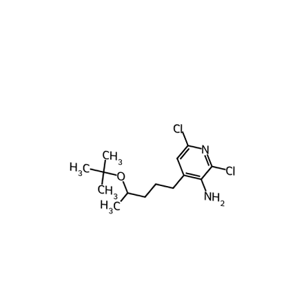 CC(CCCc1cc(Cl)nc(Cl)c1N)OC(C)(C)C